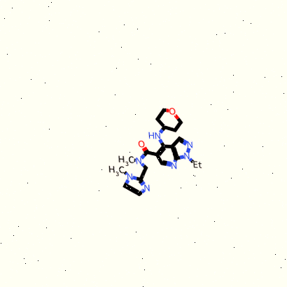 CCn1ncc2c(NC3CCOCC3)c(C(=O)N(C)Cc3nccn3C)cnc21